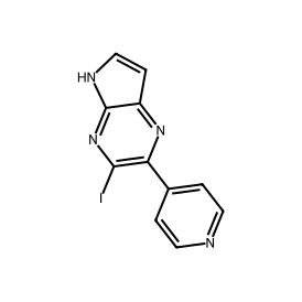 Ic1nc2[nH]ccc2nc1-c1ccncc1